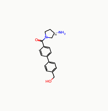 N[C@H]1CCN(C(=O)c2[c]cc(-c3ccc(CO)cc3)cc2)C1